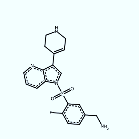 NCc1ccc(F)c(S(=O)(=O)n2cc(C3=CCNCC3)c3ncccc32)c1